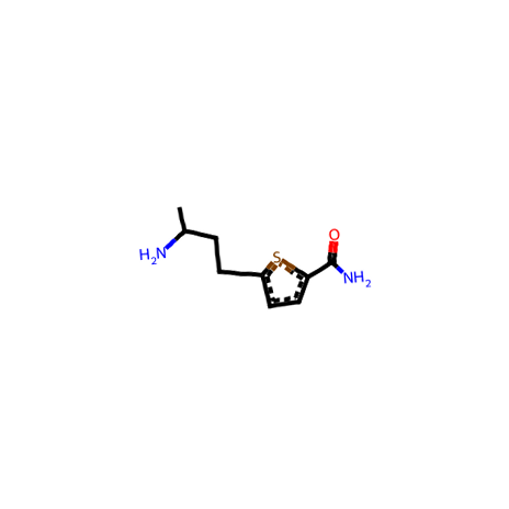 CC(N)CCc1ccc(C(N)=O)s1